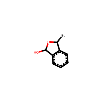 CCC1OC(O)c2ccccc21